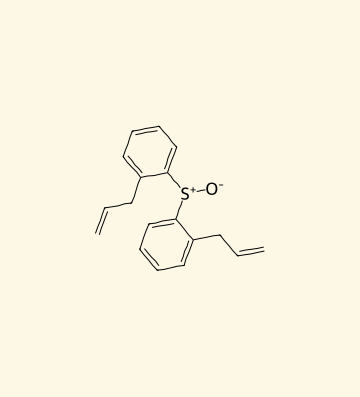 C=CCc1ccccc1[S+]([O-])c1ccccc1CC=C